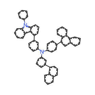 c1ccc(-n2c3ccccc3c3c(-c4cccc(N(c5ccc(-c6cc7ccccc7c7ccccc67)cc5)c5cccc(-c6cccc7ccccc67)c5)c4)cccc32)cc1